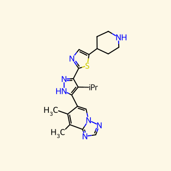 Cc1c(-c2[nH]nc(-c3ncc(C4CCNCC4)s3)c2C(C)C)cn2ncnc2c1C